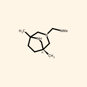 CNCN1CC2(C)CC[C@](C)(CN2)C1